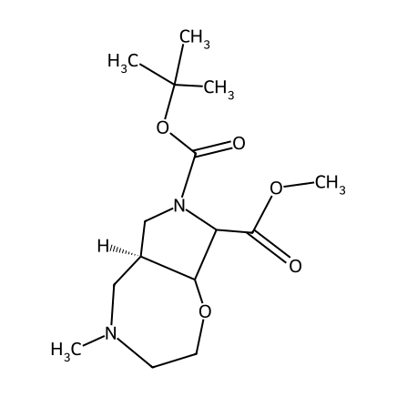 COC(=O)C1C2OCCN(C)C[C@H]2CN1C(=O)OC(C)(C)C